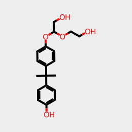 CC(C)(c1ccc(O)cc1)c1ccc(OC(CO)OCCO)cc1